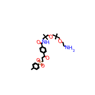 Cc1ccc(S(=O)(=O)CCC(=O)c2ccc(C(=O)NCC(C)(C)COCC(C)(C)COCCN)cc2)cc1